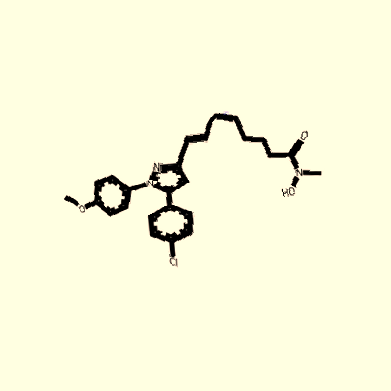 COc1ccc(-n2nc(CC/C=C\CCCC(=O)N(C)O)cc2-c2ccc(Cl)cc2)cc1